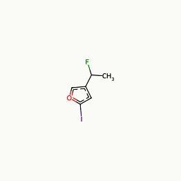 CC(F)c1coc(I)c1